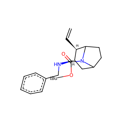 C=C[C@H]1C2CCC(C[C@H]1NCc1ccccc1)N2C(=O)OC(C)(C)C